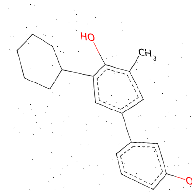 Cc1cc(-c2cccc(O)c2)cc(C2CCCCC2)c1O